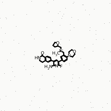 CN(Cc1cc(-c2cc(-c3ccc4c(c3)CCNC4=O)c(N)nc2F)ccc1N1CCOCC1)CC1CCCO1